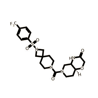 O=C1CO[C@H]2CCN(C(=O)N3CCC4(CC3)CN(S(=O)(=O)c3ccc(C(F)(F)F)cc3)C4)CC2N1